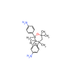 CC1(C)C[Si](C)(c2ccc(N)cc2)[Si](C)(C)[Si](C)(c2ccc(N)cc2)O1